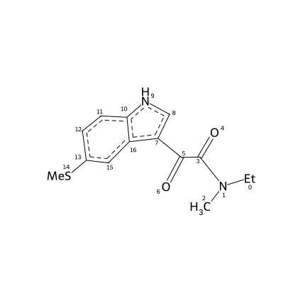 CCN(C)C(=O)C(=O)c1c[nH]c2ccc(SC)cc12